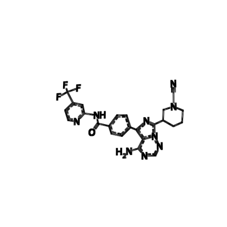 N#CN1CCCC(c2nc(-c3ccc(C(=O)Nc4cc(C(F)(F)F)ccn4)cc3)c3c(N)ncnn23)C1